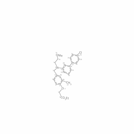 CCOC(=O)COc1ccc(CN(CCOC)c2nccc(-c3ccc(Cl)cc3)n2)cc1C